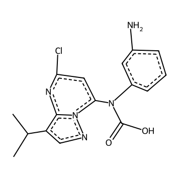 CC(C)c1cnn2c(N(C(=O)O)c3cccc(N)c3)cc(Cl)nc12